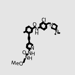 COCCNC(=O)Nc1ccc(C#Cc2cc(C(=O)Nc3ccc(CN4CC[C@@H](N(C)C)C4)c(Cl)c3)ccc2C)cn1